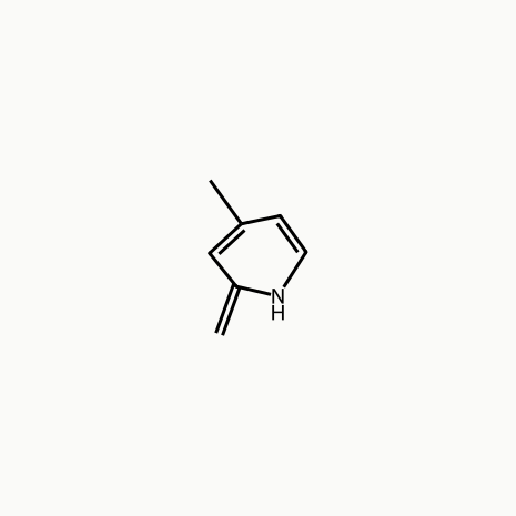 C=C1C=C(C)C=CN1